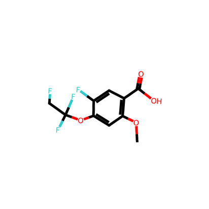 COc1cc(OC(F)(F)CF)c(F)cc1C(=O)O